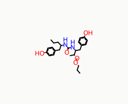 CCCOOC(C)C(Cc1ccc(O)cc1)NC(=O)NC(CCC)Cc1ccc(O)cc1